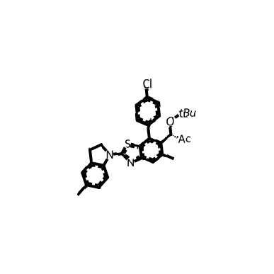 CC(=O)[C@@H](OC(C)(C)C)c1c(C)cc2nc(N3CCc4cc(C)ccc43)sc2c1-c1ccc(Cl)cc1